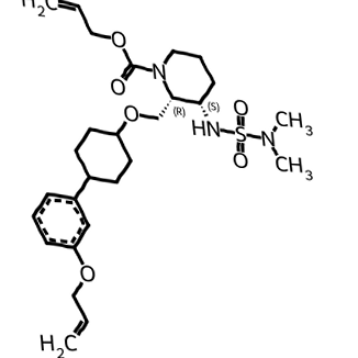 C=CCOC(=O)N1CCC[C@H](NS(=O)(=O)N(C)C)[C@@H]1COC1CCC(c2cccc(OCC=C)c2)CC1